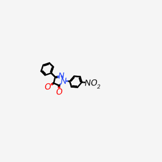 O=C1C(=O)N(c2ccc([N+](=O)[O-])cc2)N=C1c1ccccc1